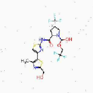 Cc1nc(CO)sc1-c1csc(NC(=O)C2C[C@H](C(F)(F)F)CN2C(O)OCC(F)(F)F)n1